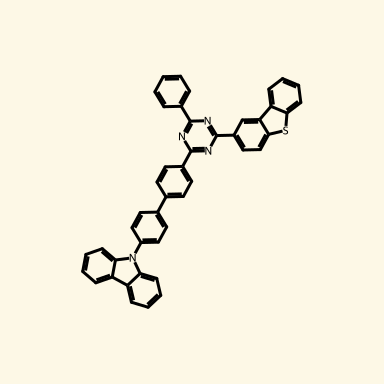 c1ccc(-c2nc(-c3ccc(-c4ccc(-n5c6ccccc6c6ccccc65)cc4)cc3)nc(-c3ccc4sc5ccccc5c4c3)n2)cc1